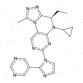 CC[C@@H]1c2nnc(C)n2-c2cnc(-n3ccnc3-c3cncnc3)nc2N1C1CC1